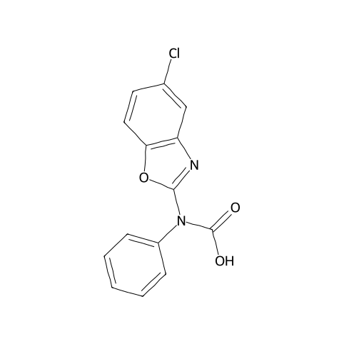 O=C(O)N(c1ccccc1)c1nc2cc(Cl)ccc2o1